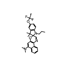 CCCN1c2ccc(OC(F)(F)F)cc2C(C)(C)C12C=Nc1c(cc(N(C)C)c3ccccc13)O2